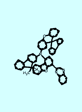 CC1(C)c2ccccc2-c2ccc(N(c3ccc4c(c3)C3(c5ccccc5O4)c4ccccc4-c4ccccc43)c3ccc(-c4cnc5ccccc5n4)c4oc5ccccc5c34)cc21